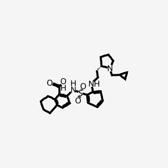 O=C(O)c1c(NS(=O)(=O)c2ccccc2NCC[C@@H]2CCCN2CC2CC2)ccc2c1CCCC2